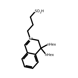 CCCCCCC1(CCCCCC)C[N+](CCCS(=O)(=O)O)=Cc2ccccc21